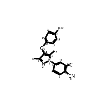 Cc1nn(-c2ccc(C#N)c(Cl)c2)c(C)c1Oc1ccc(F)cc1